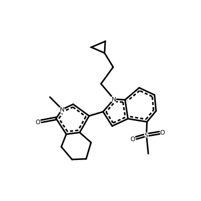 Cn1cc(-c2cc3c(S(C)(=O)=O)cccc3n2CCC2CC2)c2c(c1=O)CCCC2